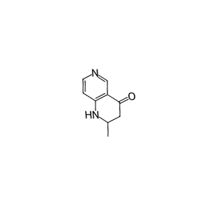 CC1CC(=O)c2cnccc2N1